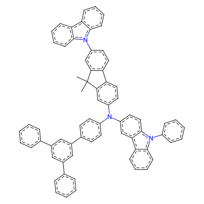 CC1(C)c2cc(N(c3ccc(-c4cc(-c5ccccc5)cc(-c5ccccc5)c4)cc3)c3ccc4c(c3)c3ccccc3n4-c3ccccc3)ccc2-c2ccc(-n3c4ccccc4c4ccccc43)cc21